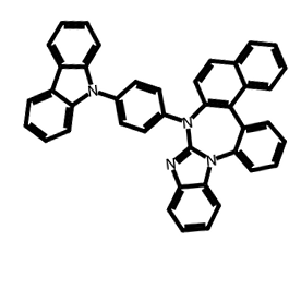 c1ccc2c(c1)-c1c(ccc3ccccc13)N(c1ccc(-n3c4ccccc4c4ccccc43)cc1)c1nc3ccccc3n1-2